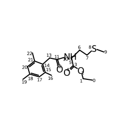 CCOC(=O)C(CCSC)NC(=O)Cc1c(C)cc(C)cc1C